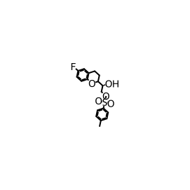 Cc1ccc(S(=O)(=O)OC[C@H](O)C2CCc3cc(F)ccc3O2)cc1